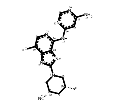 C[C@@H]1C[C@H](C#N)CN(c2nc3c(F)cnc(Nc4cc(N)ncn4)c3s2)C1